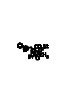 CCOC(=O)c1c(Cc2cnn(-c3ccccc3)c2)sc2c1c(=O)n(C)c(=O)n2C(C)C